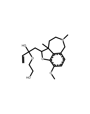 C=CC(O)(CC1Oc2c(OC)ccc3c2C1(C)CCN(C)C3)OCCO